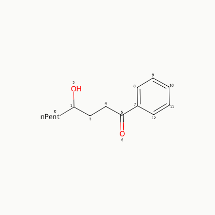 CCCCCC(O)CCC(=O)c1ccccc1